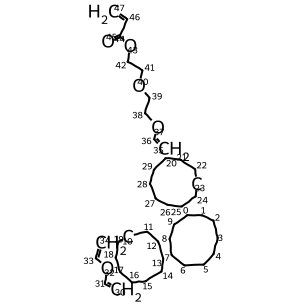 C1CCCCCCCCC1.C1CCCCCCCCC1.C1CCCCCCCCC1.C=COC=C.C=COCCOCCOC(=O)C=C